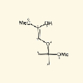 CO/C(O)=C/OC(C)(C)OC